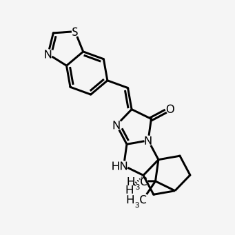 CC1(C)C2CCC13[C@@H](C2)NC1=N/C(=C\c2ccc4ncsc4c2)C(=O)N13